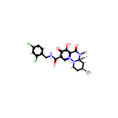 CCN1C(=O)c2c(O)c(=O)c(C(=O)NCc3ccc(F)cc3F)cn2N2CC[C@H](C)C[C@@H]12